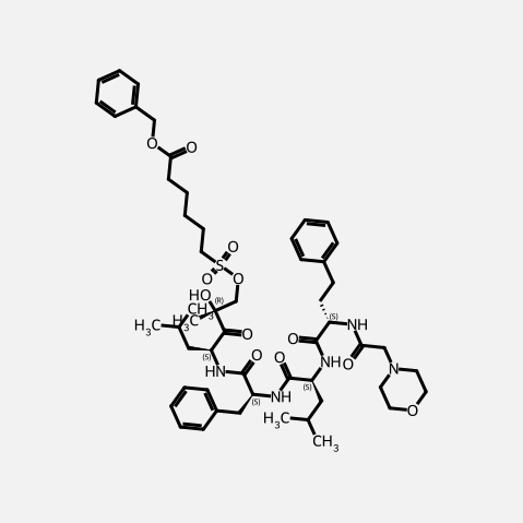 CC(C)C[C@H](NC(=O)[C@H](CCc1ccccc1)NC(=O)CN1CCOCC1)C(=O)N[C@@H](Cc1ccccc1)C(=O)N[C@@H](CC(C)C)C(=O)[C@](C)(O)COS(=O)(=O)CCCCCC(=O)OCc1ccccc1